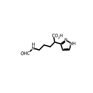 O=CNCCCC(C(=O)O)c1cc[nH]n1